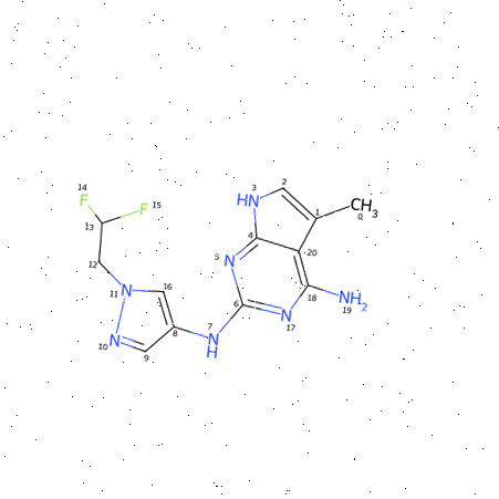 Cc1c[nH]c2nc(Nc3cnn(CC(F)F)c3)nc(N)c12